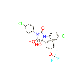 O=C1N(c2ccc(Cl)cc2)[C@H](O)C(O)(c2cccc(OC(F)(F)F)c2)N1c1ccc(Cl)cc1